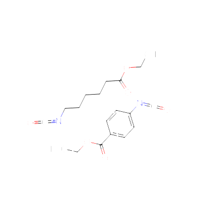 CCOC(=O)CCCCCN=C=O.CCOC(=O)c1ccc(N=C=O)cc1